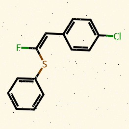 F/C(=C/c1ccc(Cl)cc1)Sc1ccccc1